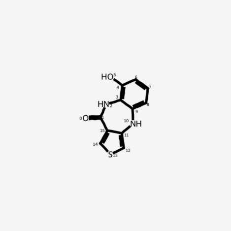 O=C1Nc2c(O)cccc2Nc2cscc21